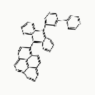 c1cc(-c2ccncc2)nc(-c2c3ccccc3c(-c3ccc4ccc5cccc6ccc3c4c56)c3ccccc23)c1